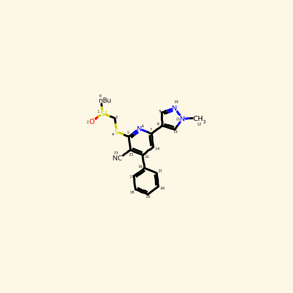 CCCC[S+]([O-])CSc1nc(-c2cnn(C)c2)cc(-c2ccccc2)c1C#N